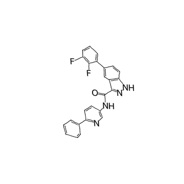 O=C(Nc1ccc(-c2ccccc2)nc1)c1n[nH]c2ccc(-c3cccc(F)c3F)cc12